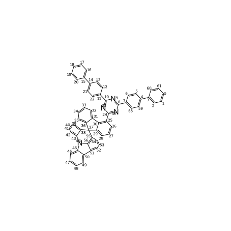 c1ccc(-c2ccc(-c3nc(-c4ccc(-c5ccccc5)cc4)nc(-c4cccc5c4-c4ccccc4C54c5ccccc5-n5c6ccccc6c6cccc4c65)n3)cc2)cc1